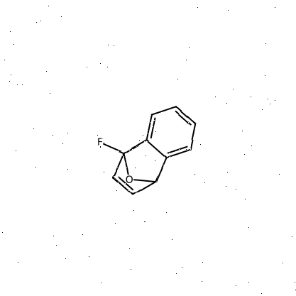 FC12C=CC(O1)c1ccccc12